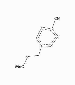 CO[CH]Cc1ccc(C#N)cc1